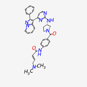 CN(C)C/C=C/C(=O)Nc1ccc(C(=O)N2CC[C@H](Nc3nccc(-c4c(-c5ccccc5)nn5ccccc45)n3)C2)cc1